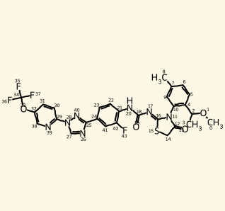 COC(C)c1ccc(C)cc1N1C(=O)CS/C1=N\C(=O)Nc1ccc(-c2ncn(-c3ccc(OC(F)(F)F)cn3)n2)cc1F